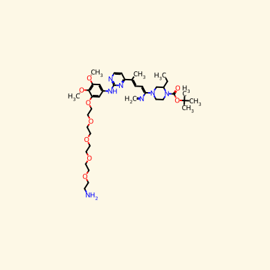 C=N/C(=C\C=C(/C)c1ccnc(Nc2cc(OC)c(OC)c(OCCOCCOCCOCCOCCN)c2)n1)N1CCN(C(=O)OC(C)(C)C)C(CC)C1